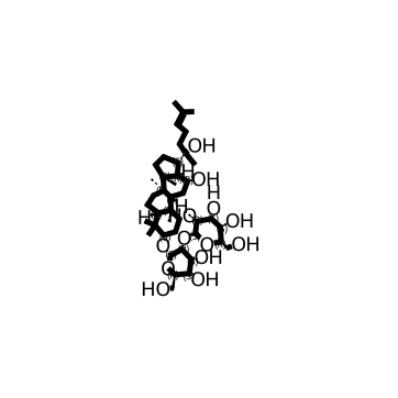 CC(C)=CCCC(C)(O)[C@H]1CC[C@]2(C)[C@@H]1[C@H](O)C[C@@H]1[C@@]3(C)CC[C@H](O[C@H]4O[C@H](CO)[C@@H](O)[C@H](O)[C@H]4O[C@@H]4O[C@H](CO)[C@@H](O)[C@H](O)[C@H]4O)C(C)(C)[C@@H]3CC[C@]12C